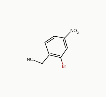 N#CCc1ccc([N+](=O)[O-])cc1Br